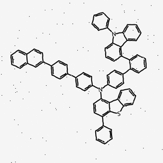 c1ccc(-c2ccc(N(c3ccc(-c4ccc(-c5ccc6ccccc6c5)cc4)cc3)c3ccc(-c4ccccc4-c4cccc5c4c4ccccc4n5-c4ccccc4)cc3)c3c2sc2ccccc23)cc1